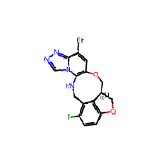 CCc1cc2c(n3cnnc13)NCc1c(F)ccc3c1[C@@H](CO3)CO2